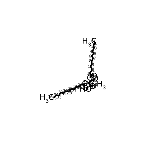 CCCCCCCCCCCCCC(=O)OC(C(C)=O)C(OC(=O)CCCCCCCCCCCCC)C(=O)O